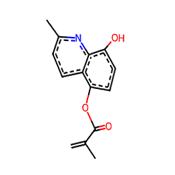 C=C(C)C(=O)Oc1ccc(O)c2nc(C)ccc12